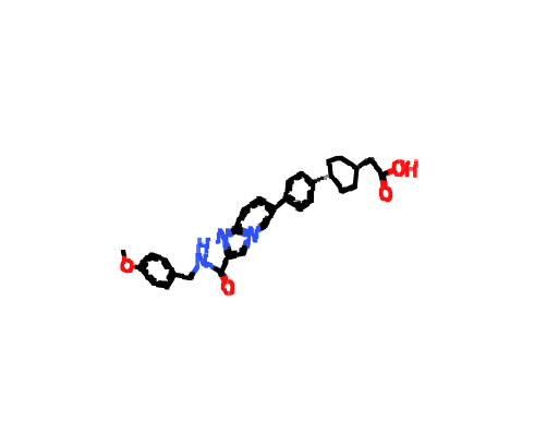 COc1ccc(CNC(=O)c2cn3cc(-c4ccc([C@H]5CC[C@H](CC(=O)O)CC5)cc4)ccc3n2)cc1